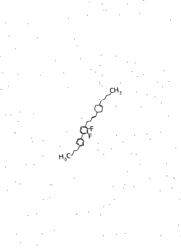 CCCCCC1=CCC(/C=C/CCc2ccc(-c3ccc(CCCC)cc3)c(F)c2F)CC1